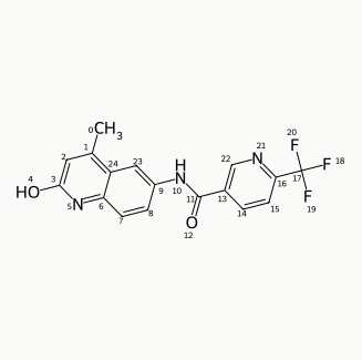 Cc1cc(O)nc2ccc(NC(=O)c3ccc(C(F)(F)F)nc3)cc12